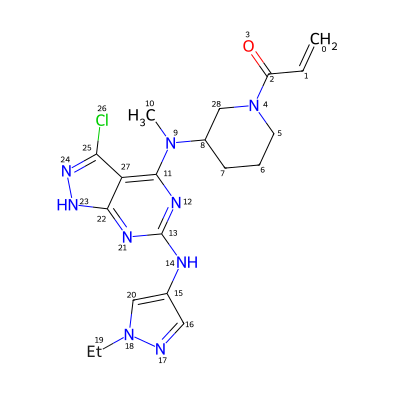 C=CC(=O)N1CCCC(N(C)c2nc(Nc3cnn(CC)c3)nc3[nH]nc(Cl)c23)C1